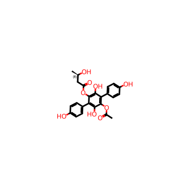 CC(=O)Oc1c(O)c(-c2ccc(O)cc2)c(OC(=O)C[C@@H](C)O)c(O)c1-c1ccc(O)cc1